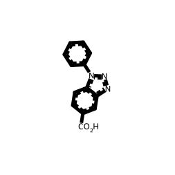 O=C(O)c1ccc2c(c1)nnn2-c1ccccc1